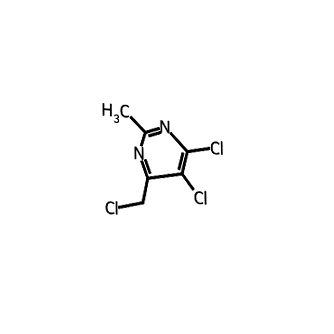 Cc1nc(Cl)c(Cl)c(CCl)n1